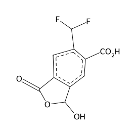 O=C(O)c1cc2c(cc1C(F)F)C(=O)OC2O